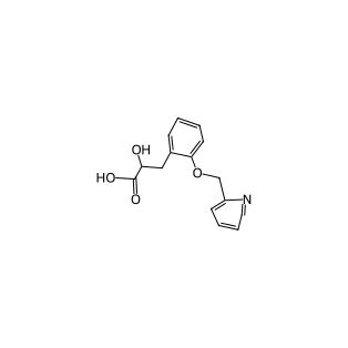 O=C(O)C(O)Cc1ccccc1OCc1ccccn1